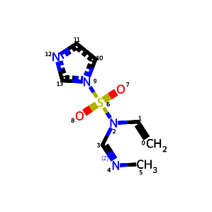 C=CN(/C=N\C)S(=O)(=O)n1ccnc1